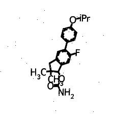 CC(C)Oc1ccc(-c2cc3c(cc2F)C(OC(N)=O)C(C)(C)C3)cc1